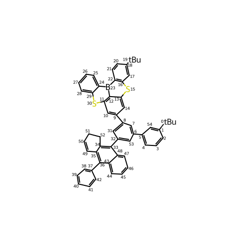 CC(C)(C)c1cccc(-c2cc(-c3cc4c5c(c3)Sc3cc(C(C)(C)C)ccc3B5c3ccccc3S4)cc(-c3c4c(c(-c5ccccc5)c5ccccc35)C=CCC4)c2)c1